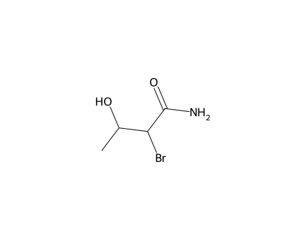 CC(O)C(Br)C(N)=O